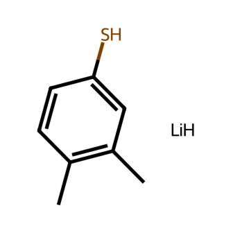 Cc1ccc(S)cc1C.[LiH]